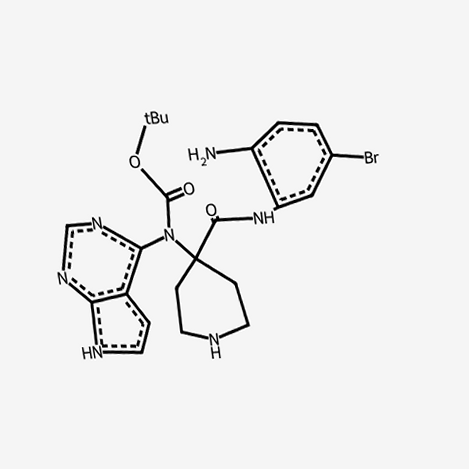 CC(C)(C)OC(=O)N(c1ncnc2[nH]ccc12)C1(C(=O)Nc2cc(Br)ccc2N)CCNCC1